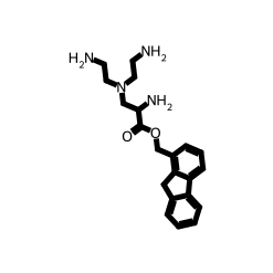 NCCN(CCN)CC(N)C(=O)OCc1cccc2c1Cc1ccccc1-2